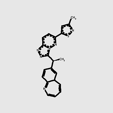 Cc1cc(-c2ccc3nnc([C@@H](C)C4=CC5C=CC=CN=C5C=C4)n3n2)sn1